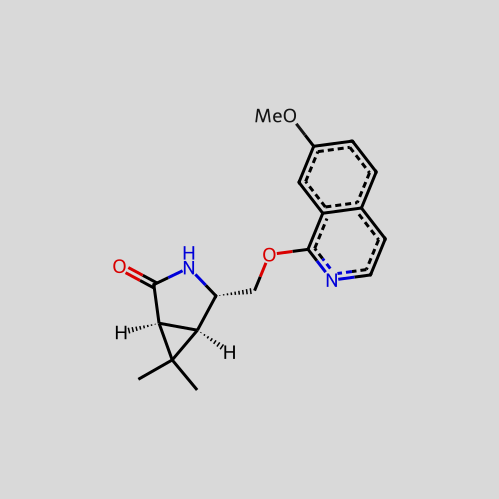 COc1ccc2ccnc(OC[C@H]3NC(=O)[C@H]4[C@@H]3C4(C)C)c2c1